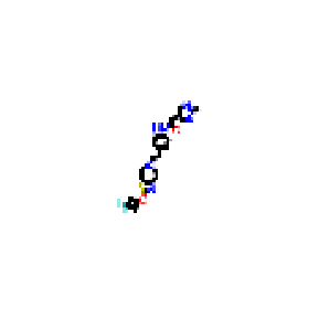 Cc1ncc(CC(=O)N[C@H]2CC[C@H](CCN3CCc4nc(OC5CC(F)(F)C5)sc4CC3)CC2)cn1